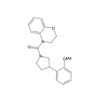 COc1ccccc1C1CCN(C(=O)N2CCOc3ccccc32)C1